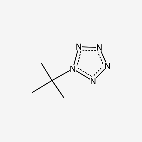 CC(C)(C)n1nnnn1